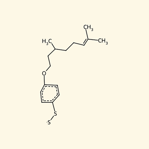 CC(C)=CCCC(C)CCOc1ccc(S[S])cc1